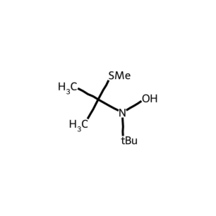 CSC(C)(C)N(O)C(C)(C)C